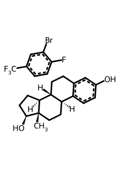 C[C@]12CC[C@@H]3c4ccc(O)cc4CC[C@H]3[C@@H]1CC[C@@H]2O.Fc1ccc(C(F)(F)F)cc1Br